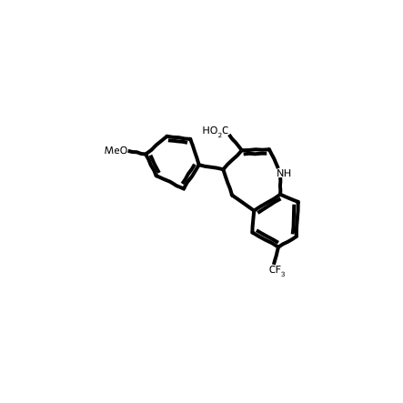 COc1ccc(C2Cc3cc(C(F)(F)F)ccc3NC=C2C(=O)O)cc1